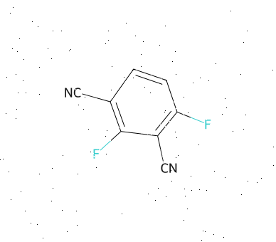 N#Cc1ccc(F)c(C#N)c1F